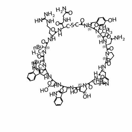 CCCC[C@H]1C(=O)N(C)[C@@H](CCCC)C(=O)N[C@@H](CCCNC(=N)N)C(=O)NC(C(=O)NCC(N)=O)CSCC(=O)N[C@@H](Cc2ccc(O)cc2)C(=O)N(C)[C@@H](C)C(=O)N[C@@H](CC(N)=O)C(=O)N2CCC[C@H]2C(=O)N[C@@H](Cc2cnc[nH]2)C(=O)N[C@@H](CC(C)C)C(=O)N2C[C@H](O)C[C@H]2C(=O)N[C@@H](Cc2c[nH]c3ccccc23)C(=O)N[C@@H](CCO)C(=O)N[C@@H](Cc2c[nH]c3ccccc23)C(=O)N1C